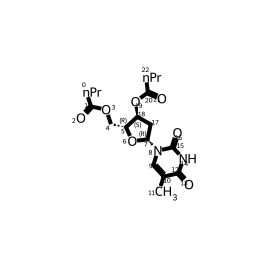 CCCC(=O)OC[C@H]1O[C@@H](n2cc(C)c(=O)[nH]c2=O)C[C@@H]1OC(=O)CCC